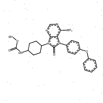 CC(C)(C)OC(=O)NC1CCC(n2c(=O)n(-c3ccc(Oc4ccccc4)cc3)c3c(N)ncnc32)CC1